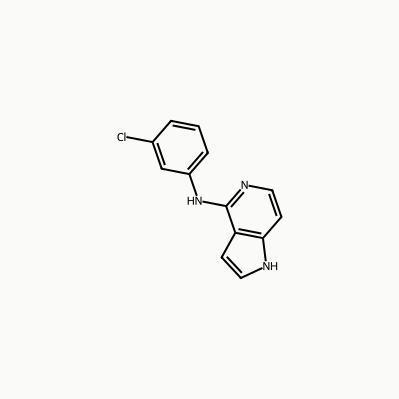 Clc1cccc(Nc2nccc3[nH]ccc23)c1